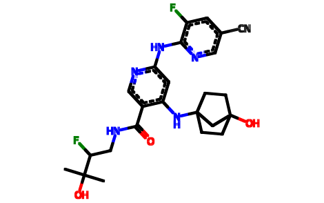 CC(C)(O)C(F)CNC(=O)c1cnc(Nc2ncc(C#N)cc2F)cc1NC12CCC(O)(CC1)C2